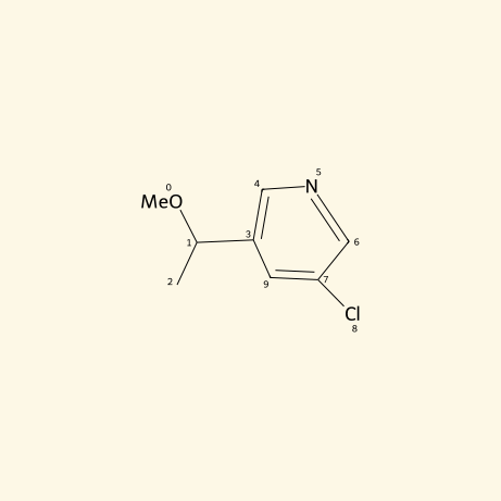 COC(C)c1cncc(Cl)c1